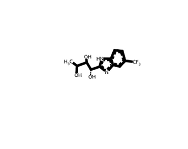 CC(O)C(O)[C@@H](O)c1nc2cc(C(F)(F)F)ccc2[nH]1